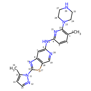 Cc1ccc(Nc2cc3nc(-n4nccc4C)sc3cn2)nc1N1CCNCC1